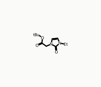 CCn1ccn(CC(=O)OC(C)(C)C)c1=O